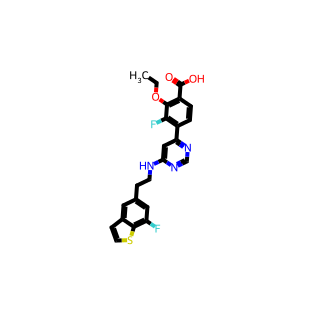 CCOc1c(C(=O)O)ccc(-c2cc(NCCc3cc(F)c4sccc4c3)ncn2)c1F